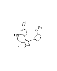 CCOc1cccc(-c2nnc3n2-c2ccc(Cl)cc2NC[C@H]3C)c1